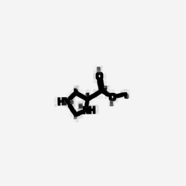 COC(=O)C1CNCN1